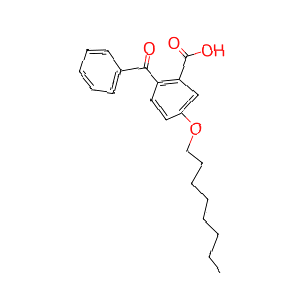 CCCCCCCCOc1ccc(C(=O)c2ccccc2)c(C(=O)O)c1